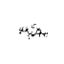 Cc1c(C(=O)[O-])ncn1CCNC(=O)OC(C)(C)C.[Li+]